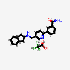 NC(=O)c1cccc(-c2ccc(CNC3Cc4ccccc4C3)cn2)c1.O=C(O)C(F)(F)F